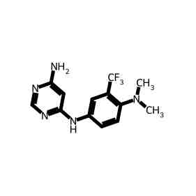 CN(C)c1ccc(Nc2cc(N)ncn2)cc1C(F)(F)F